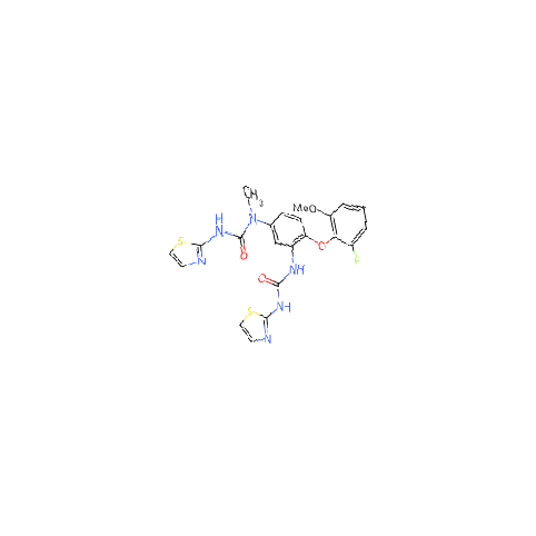 COc1cccc(F)c1Oc1ccc(N(C)C(=O)Nc2nccs2)cc1NC(=O)Nc1nccs1